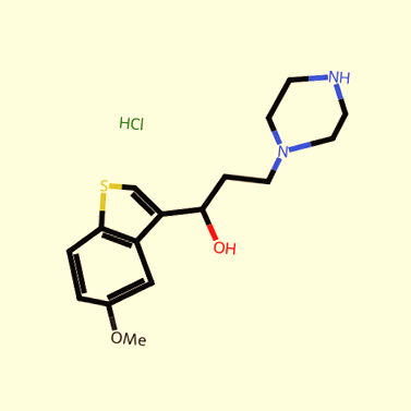 COc1ccc2scc(C(O)CCN3CCNCC3)c2c1.Cl